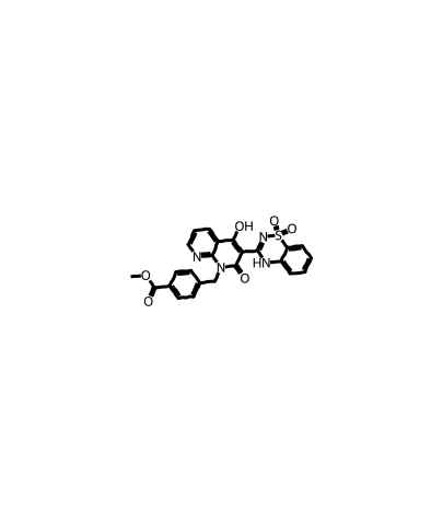 COC(=O)c1ccc(Cn2c(=O)c(C3=NS(=O)(=O)c4ccccc4N3)c(O)c3cccnc32)cc1